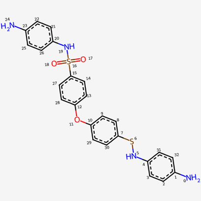 Nc1ccc(NSc2ccc(Oc3ccc(S(=O)(=O)Nc4ccc(N)cc4)cc3)cc2)cc1